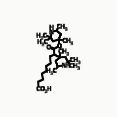 CC1CC(C)(OC(=O)C(CCCCCCCC(=O)O)C2(C)CC(C)NC(C)(C)C2)CC(C)(C)N1